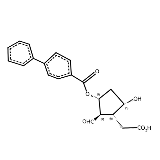 O=C[C@@H]1[C@@H](CC(=O)O)[C@@H](O)C[C@H]1OC(=O)c1ccc(-c2ccccc2)cc1